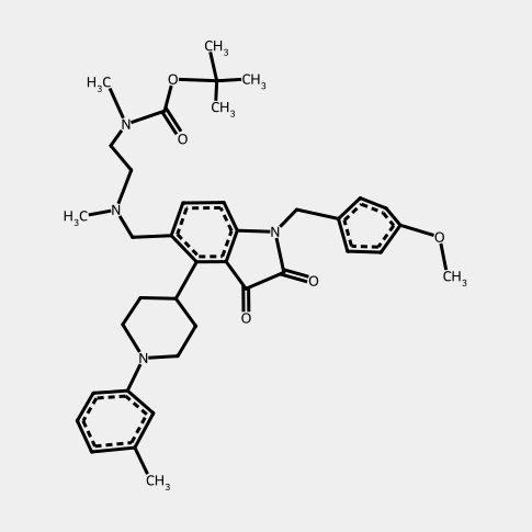 COc1ccc(CN2C(=O)C(=O)c3c2ccc(CN(C)CCN(C)C(=O)OC(C)(C)C)c3C2CCN(c3cccc(C)c3)CC2)cc1